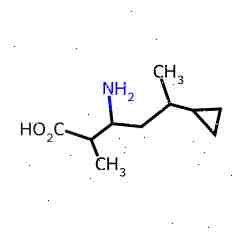 CC(CC(N)C(C)C(=O)O)C1CC1